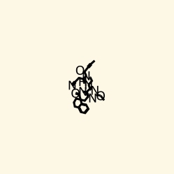 CC#CC(=O)N1CCN(c2nc(OC)nc3c2NC(=O)C2(CCCc4ccccc42)C3)C=C1CC#N